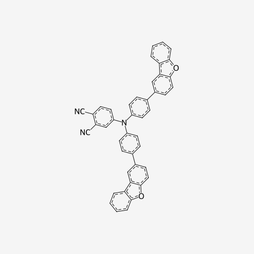 N#Cc1ccc(N(c2ccc(-c3ccc4oc5ccccc5c4c3)cc2)c2ccc(-c3ccc4oc5ccccc5c4c3)cc2)cc1C#N